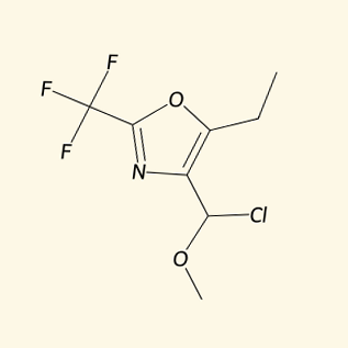 CCc1oc(C(F)(F)F)nc1C(Cl)OC